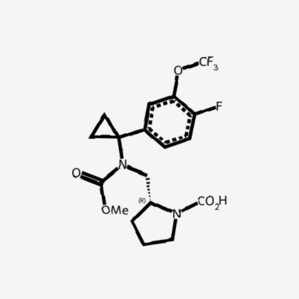 COC(=O)N(C[C@H]1CCCN1C(=O)O)C1(c2ccc(F)c(OC(F)(F)F)c2)CC1